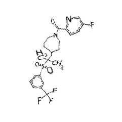 CC(C)(C1CCN(C(=O)c2ccc(F)cn2)CC1)S(=O)(=O)c1cccc(C(F)(F)F)c1